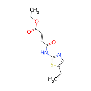 C=Cc1cnc(NC(=O)/C=C/C(=O)OCC)s1